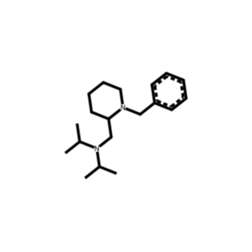 CC(C)N(CC1CCCCN1Cc1ccccc1)C(C)C